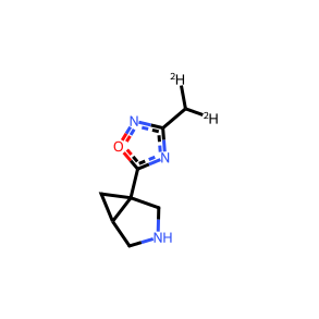 [2H]C([2H])c1noc(C23CNCC2C3)n1